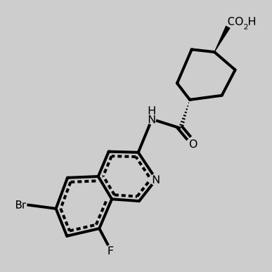 O=C(O)[C@H]1CC[C@H](C(=O)Nc2cc3cc(Br)cc(F)c3cn2)CC1